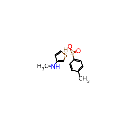 CNC1=C[SH](S(=O)(=O)c2ccc(C)cc2)C=C1